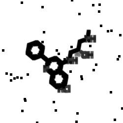 CNC[C@H](O)CNc1cc(-c2ccccc2)nc2ccccc12.Cl